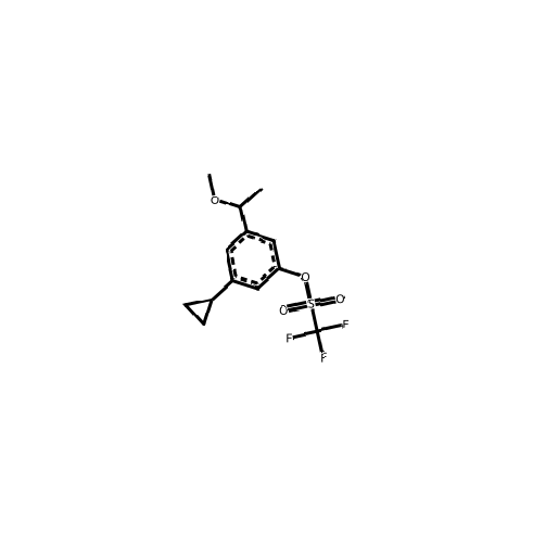 COC(C)c1cc(OS(=O)(=O)C(F)(F)F)cc(C2CC2)c1